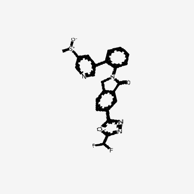 C[S+]([O-])c1cncc(-c2ccccc2N2Cc3ccc(-c4nnc(C(F)F)o4)cc3C2=O)c1